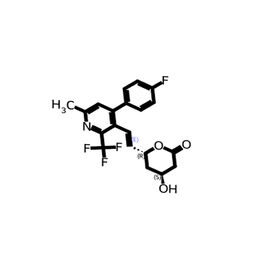 Cc1cc(-c2ccc(F)cc2)c(/C=C/[C@H]2C[C@H](O)CC(=O)O2)c(C(F)(F)F)n1